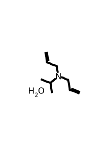 C=CCN(CC=C)C(C)C.O